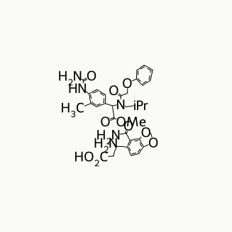 COC(=O)C(c1ccc(NC(N)=O)c(C)c1)N(CC(C)C)C(=O)COc1ccccc1.NC(=O)c1c(C(N)CC(=O)O)ccc2c1OCO2